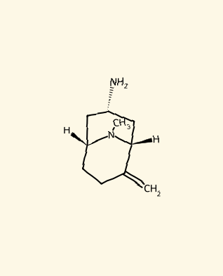 C=C1CC[C@@H]2C[C@H](N)C[C@H]1N2C